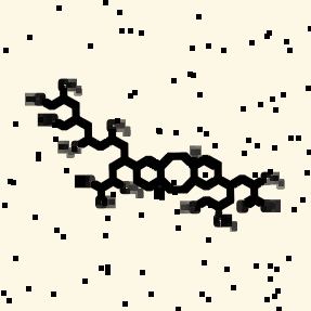 CC(CO)CC(CO)CC(C)CC(C)CC(CC(C)C(O)O)C1C=C2CC[C@H]3C=CC(C(CC(C)C(=O)O)C[C@@H](C)CO)CC3CC[C@H]2CC1